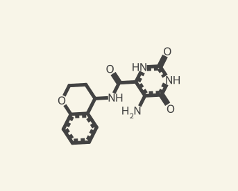 Nc1c(C(=O)NC2CCOc3ccccc32)[nH]c(=O)[nH]c1=O